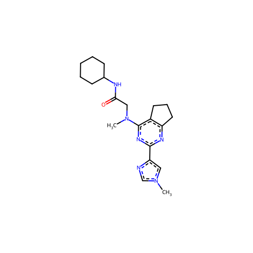 CN(CC(=O)NC1CCCCC1)c1nc(-c2cn(C)cn2)nc2c1CCC2